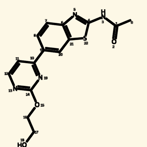 CC(=O)Nc1nc2ccc(-c3ccnc(OCCO)n3)cc2s1